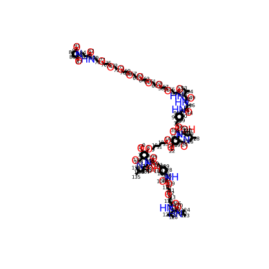 COc1cc2c(cc1OCCCCCOc1cc3c(cc1OC)C(=O)N1C=C(C)C[C@H]1[C@H](O)N3C(=O)OCc1ccc(NC(=O)[C@@H](C)NC(=O)[C@H](NC(=O)CCOCCOCCOCCOCCOCCOCCOCCOCCNC(=O)CCN3C(=O)C=CC3=O)C(C)C)cc1)N(C(=O)OCc1ccc(NC(=O)OCCOCCC(=O)N[C@@H](C(=O)NC(C)C)C(C)C)cc1)[C@@H](O)[C@@H]1CC(C)=CN1C2=O